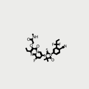 CCc1nc2c(F)cc(N3C(=S)N(c4ccc(C#N)c(C(F)(F)CC)c4)C(=O)C3(C)C)cn2c(=O)c1OCC(=O)NC